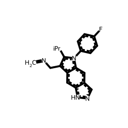 C=NCc1c(C(C)C)n(-c2ccc(F)cc2)c2cc3cn[nH]c3cc12